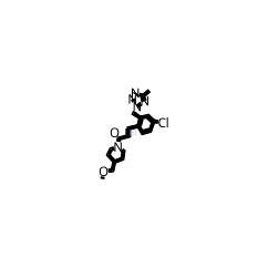 COCC1CCN(C(=O)/C=C/c2ccc(Cl)cc2Cn2nnc(C)n2)CC1